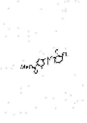 COC(=O)c1ccc(CNCc2nccc(Cl)c2Cl)cn1